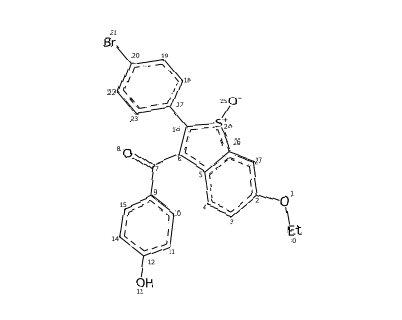 CCOc1ccc2c(C(=O)c3ccc(O)cc3)c(-c3ccc(Br)cc3)[s+]([O-])c2c1